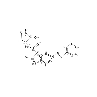 Cc1oc2ccc(OCc3ccccc3)cc2c1C(=O)N[C@@H]1CCNC1=O